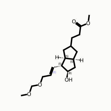 COCOC/C=C/[C@@H]1[C@H]2CC(CCC(=O)OC)C[C@H]2C[C@H]1O